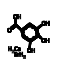 O=C(O)c1cc(O)c(O)c(O)c1.[CaH2].[SrH2]